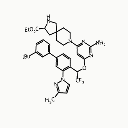 CCOC(=O)[C@@H]1CC2(CCN(c3cc(O[C@H](c4ccc(-c5cccc(C(C)(C)C)c5)cc4-n4ccc(C)n4)C(F)(F)F)nc(N)n3)CC2)CN1